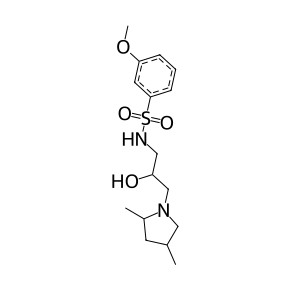 COc1cccc(S(=O)(=O)NCC(O)CN2CC(C)CC2C)c1